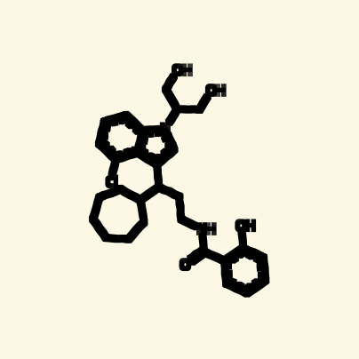 O=C(NCCC(c1cn(C(CO)CO)c2cccc(Cl)c12)C1CCCCCC1)c1ccccc1O